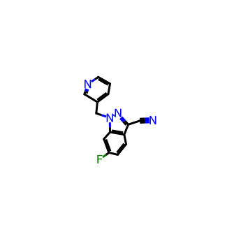 N#Cc1nn(Cc2cccnc2)c2cc(F)ccc12